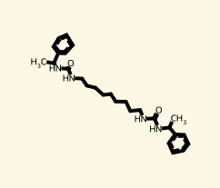 CC(NC(=O)NCCCCCCCCCNC(=O)NC(C)c1ccccc1)c1ccccc1